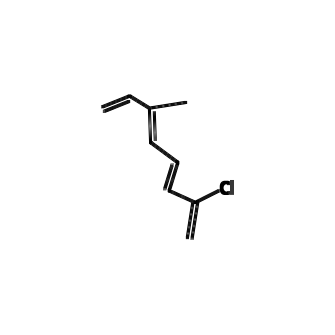 C=CC(C)=CC=CC(=C)Cl